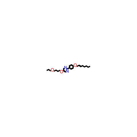 CCCCC/C=C/COc1ccc(-c2ncc(OCCCCOCCC)cn2)cc1